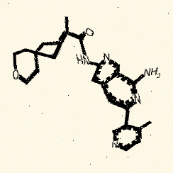 CC(C(=O)Nc1cc2cc(-c3cnccc3C)nc(N)c2cn1)=C1CC2(CCOCC2)C1